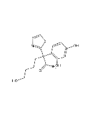 NC(=O)C(CCCCO)(c1nccs1)c1ccc(O)cc1O